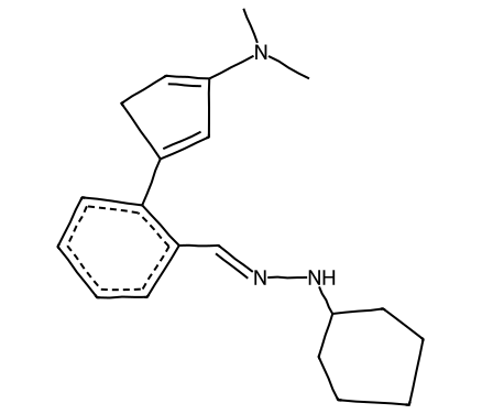 CN(C)C1=CCC(c2ccccc2/C=N/NC2CCCCC2)=C1